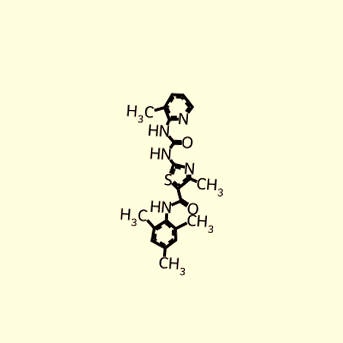 Cc1cc(C)c(NC(=O)c2sc(NC(=O)Nc3ncccc3C)nc2C)c(C)c1